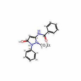 CCOC(=O)n1c(NC(=O)c2ccccc2)cc(=O)n1-c1ccccc1